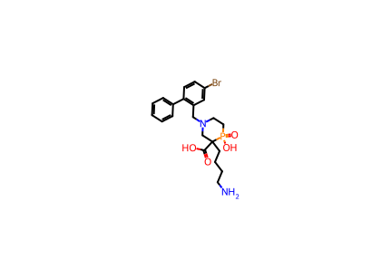 NCCCCC1(C(=O)O)CN(Cc2cc(Br)ccc2-c2ccccc2)CCP1(=O)O